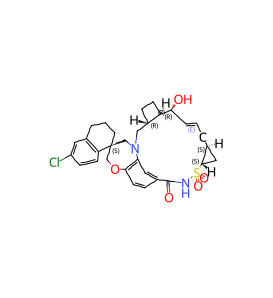 O=C1NS(=O)(=O)[C@H]2C[C@@H]2C/C=C/[C@H](O)[C@@H]2CC[C@H]2CN2C[C@@]3(CCCc4cc(Cl)ccc43)COc3ccc1cc32